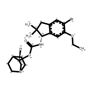 CCOc1cc2c(cc1Br)CC(C)(C)[C@H]2NC(=O)O[C@@H]1CN2CCC1CC2